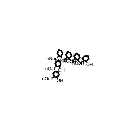 CCCCCCCCCc1ccccc1O.CCCCCCCCc1ccccc1O.CCCCCCCCc1ccccc1O.CCCCCCCCc1ccccc1O.CCCCCCCCc1ccccc1O.CCCCCCCCc1ccccc1O